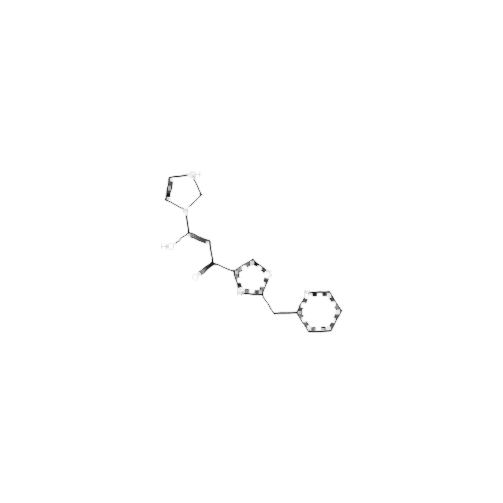 O=C(C=C(O)N1C=C[SH]C1)c1csc(Cc2ccccn2)n1